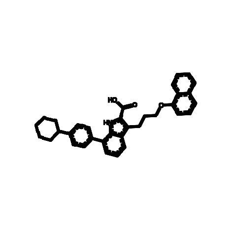 O=C(O)c1[nH]c2c(-c3ccc(C4CCCCC4)cc3)cccc2c1CCCOc1cccc2ccccc12